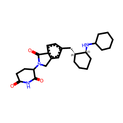 O=C1CCC(N2Cc3cc(C[C@H]4CCCC[C@@H]4NC4CCCCC4)ccc3C2=O)C(=O)N1